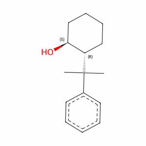 CC(C)(c1ccccc1)[C@H]1CCCC[C@@H]1O